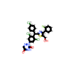 O=c1cnn(-c2cc(Cl)c(C(c3ccc(Cl)cc3)c3nc(-c4ccccc4F)c(CO)s3)c(Cl)c2)c(=O)[nH]1